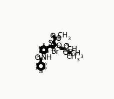 COC(=O)c1sc(-c2cccc(NC(=O)C3CCCCC3)c2)c(Br)c1OCC(=O)OC(C)(C)C